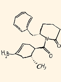 BC1=CC[C@@H](C(=O)N2C(=O)CCC[C@H]2Cc2ccccc2)[C@H](C)C1